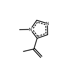 C=C(C)c1cncn1C